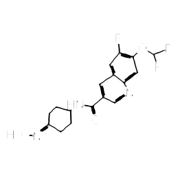 CN=C1CCC(NC(=O)c2cnc3cc(OC(F)F)c(F)cc3c2)CC1